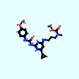 CN(CCCNc1cc(C2CC2)nc(NC(=O)Nc2ccc(OC(F)(F)F)cc2)n1)C(=O)OC(C)(C)C